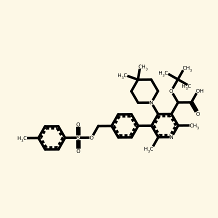 Cc1ccc(S(=O)(=O)OCc2ccc(-c3c(C)nc(C)c(C(OC(C)(C)C)C(=O)O)c3N3CCC(C)(C)CC3)cc2)cc1